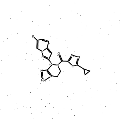 O=C(c1nnc(C2CC2)o1)N1CCc2[nH]cnc2[C@H]1c1cc2ccc(F)cn2n1